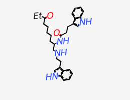 CCC(=O)CCCCCC(CNCCc1c[nH]c2ccccc12)NC(=O)CCc1c[nH]c2ccccc12